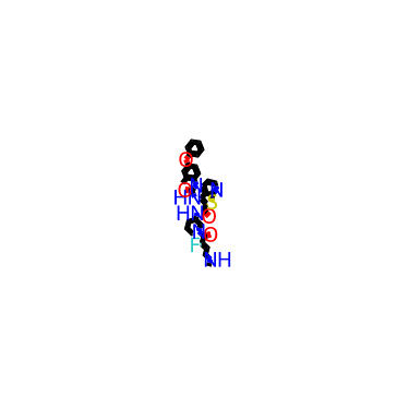 CNCC=C(F)C(=O)N1CCCC(NC(=O)c2sc3nccc4c3c2NC(=O)N4c2ccc(Oc3ccccc3)cc2C)C1